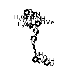 COc1cc(N2CCN(C3CCN(CCCCCNc4cccc5c4CN(C4CCC(=O)NC4=O)C5)CC3)CC2)c(-c2cnn(C)c2)cc1Nc1ncc(Cl)c(Nc2ccccc2P(C)(C)=O)n1